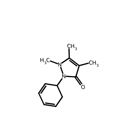 Cc1c(C)n(C)n(C2C=CC=CC2)c1=O